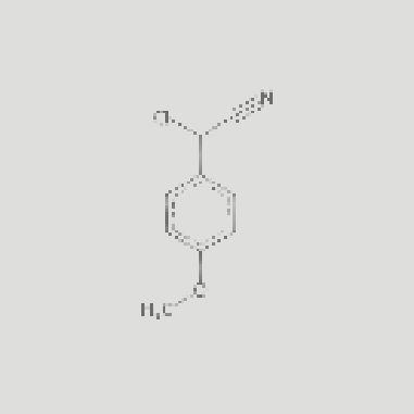 COc1ccc(C(Cl)C#N)cc1